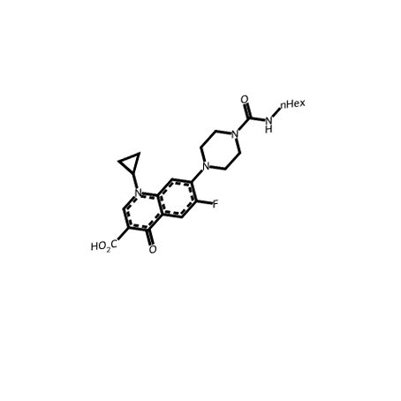 CCCCCCNC(=O)N1CCN(c2cc3c(cc2F)c(=O)c(C(=O)O)cn3C2CC2)CC1